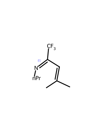 CCC/N=C(\C=C(C)C)C(F)(F)F